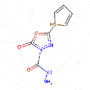 NNC(=O)n1nc([SH]2C=CC=C2)oc1=O